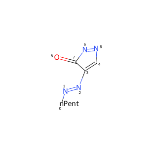 CCCCCN=NC1=CN=NC1=O